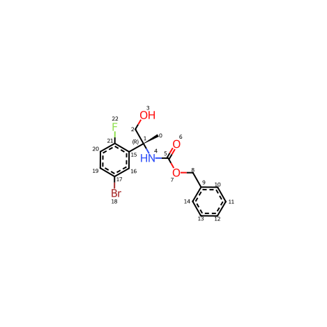 C[C@@](CO)(NC(=O)OCc1ccccc1)c1cc(Br)ccc1F